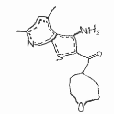 Cc1cc(C)c2c(N)c(C(=O)C3CCOCC3)sc2n1